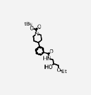 CCOCC(O)CNC(=O)c1cccc(C2CCN(C(=O)OC(C)(C)C)CC2)c1